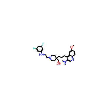 COc1ccc2ncc(N(C)C)c(CCCC3(CO)CCN(CCNc4cc(F)cc(F)c4)CC3)c2c1